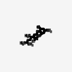 CC(C)CCC(C)c1cc(Oc2c(F)cc(N)cc2Cl)nnc1Cl